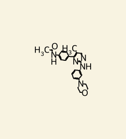 CC(=O)Nc1ccc(-c2nc(Nc3cccc(N4CCOCC4)c3)ncc2C)cc1